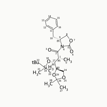 C[C@@H](C(=O)N1C(=O)OC[C@H]1Cc1ccccc1)[C@@H](O[Si](C)(C)C(C)(C)C)[C@H]1COC(C)(C)O1